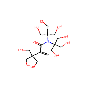 C=C(C(=O)N(C(CO)(CO)CO)C(CO)(CO)CO)C(CO)(CO)CO